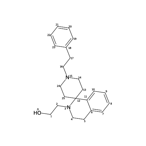 OCCN1CCc2ccccc2C12CCN(CCc1ccccc1)CC2